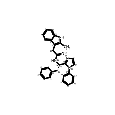 Cc1[nH]c2ccccc2c1CC(=O)N[C@@H](Cc1ccccc1)c1nccn1-c1ccccc1